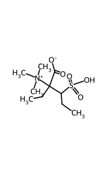 CCC(C(CC)(C(=O)[O-])[N+](C)(C)C)S(=O)(=O)O